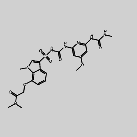 CNC(=O)Nc1cc(OC)cc(NC(=O)NS(=O)(=O)c2cn(C)c3c(OCC(=O)N(C)C)cccc23)n1